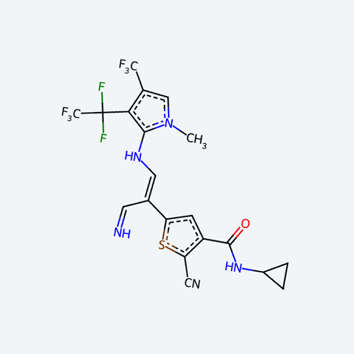 Cn1cc(C(F)(F)F)c(C(F)(F)C(F)(F)F)c1N/C=C(\C=N)c1cc(C(=O)NC2CC2)c(C#N)s1